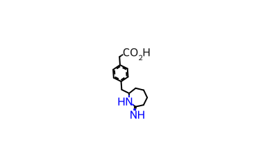 N=C1CCCCC(Cc2ccc(CC(=O)O)cc2)N1